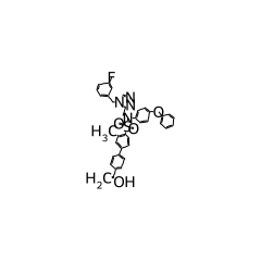 C=C(O)c1ccc(-c2ccc(S(=O)(=O)N(Cc3nncn3Cc3cccc(F)c3)c3ccc(Oc4ccccc4)cc3)c(C)c2)cc1